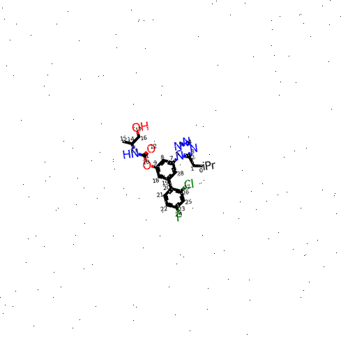 CC(C)Cc1nnnn1-c1cc(OC(=O)NC(C)CO)cc(-c2ccc(F)cc2Cl)c1